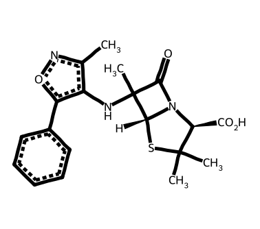 Cc1noc(-c2ccccc2)c1NC1(C)C(=O)N2[C@@H](C(=O)O)C(C)(C)S[C@@H]21